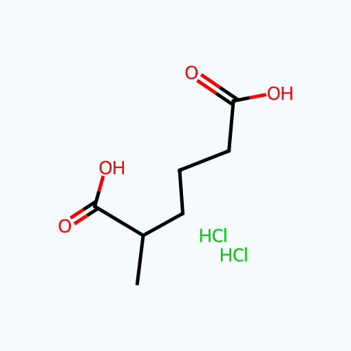 CC(CCCC(=O)O)C(=O)O.Cl.Cl